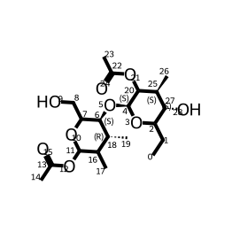 CCC1O[C@@H](O[C@@H]2C(CO)OC(OC(C)=O)C(C)[C@H]2C)C(OC(C)=O)[C@@H](C)[C@@H]1O